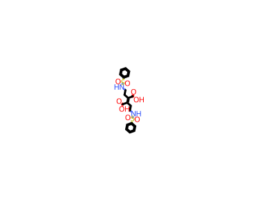 O=C(O)/C(CCNS(=O)(=O)c1ccccc1)=C(\CCNS(=O)(=O)c1ccccc1)C(=O)O